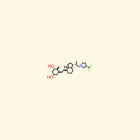 C=C1/C(=C\C=C2/CCC[C@]3(C)[C@@H](C(C)CN4CC[C@@H](C(F)F)C4)CC[C@@H]23)C[C@@H](O)[C@H](C)[C@@H]1O